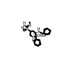 CN=c1[nH]nnn1C1CN[C@](OC)(c2ccccc2)[C@@H](NCc2ccccc2)C1